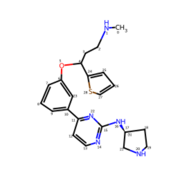 CNCCC(Oc1cccc(-c2ccnc(N[C@H]3CCNC3)n2)c1)c1cccs1